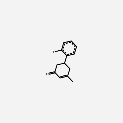 CC1=CC(=O)CC(c2ccccc2F)C1